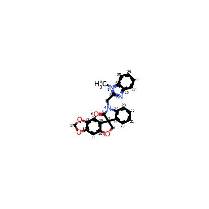 Cn1c(CN2C(=O)C3(COc4cc5c(cc43)OCO5)c3ccccc32)nc2ccccc21